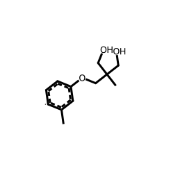 Cc1[c]ccc(OCC(C)(CO)CO)c1